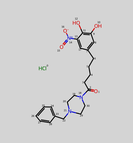 Cl.O=C(CCCCc1cc(O)c(O)c([N+](=O)[O-])c1)N1CCN(Cc2ccccc2)CC1